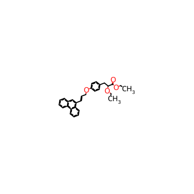 CCOC(=O)C(Cc1ccc(OCC=Cc2cc3ccccc3c3ccccc23)cc1)OCC